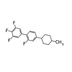 CC1CCC(c2ccc(-c3cc(F)c(F)c(F)c3)c(F)c2)CC1